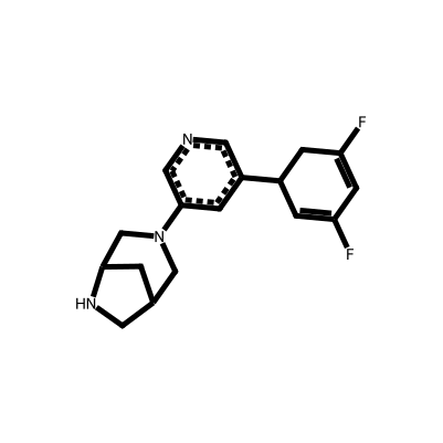 FC1=CC(c2cncc(N3CC4CNC(C4)C3)c2)CC(F)=C1